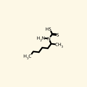 CCCCCC(C)N(N)C(=S)S